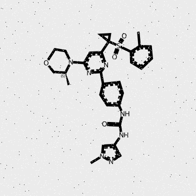 Cc1ccccc1S(=O)(=O)C1(c2cc(N3CCOC[C@@H]3C)nc(-c3ccc(NC(=O)Nc4cnn(C)c4)cc3)n2)CC1